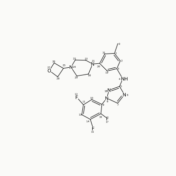 Cc1cc(Nc2ncn(-c3cc(F)cc(F)c3F)n2)cc(N2CCN(C3COC3)CC2)c1